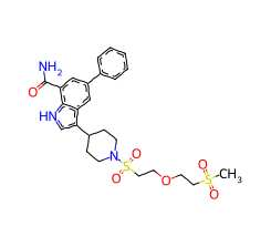 CS(=O)(=O)CCOCCS(=O)(=O)N1CCC(c2c[nH]c3c(C(N)=O)cc(-c4ccccc4)cc23)CC1